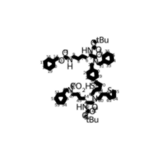 CC(C)(C)OC(=O)N[C@@H](CCCCNC(=O)OCc1ccccc1)C(=O)N(Cc1ccccc1)Cc1ccccc1.CC(C)(C)OC(=O)N[C@H](CCCCN(Cc1ccccc1)C(=O)O)C(=O)N(CCc1cccs1)Cc1cccs1